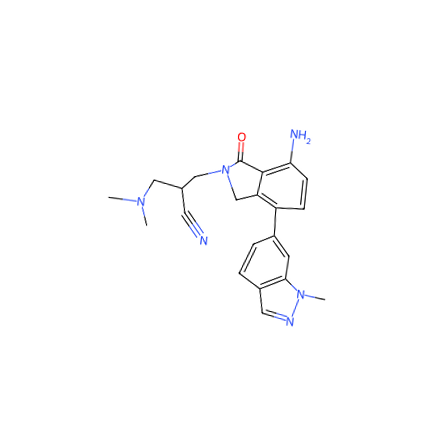 CN(C)CC(C#N)CN1Cc2c(-c3ccc4cnn(C)c4c3)ccc(N)c2C1=O